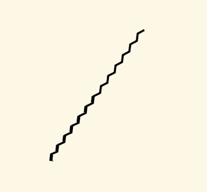 [CH]=CC=CC=CC=CC=CC=CC=CCCCCCCCCCCCCC